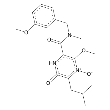 COc1cccc(CN(C)C(=O)c2[nH]c(=O)c(CC(C)C)[n+]([O-])c2OC)c1